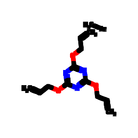 C=CCOc1nc(OCC=C)nc(OCC=C)n1.CC(C)=O